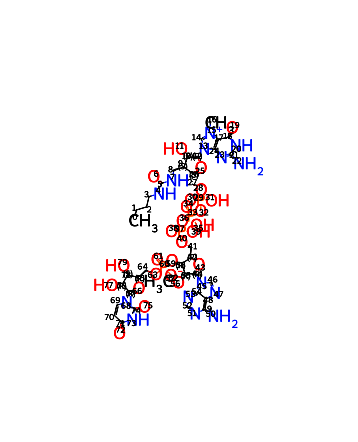 CCCCNC(=O)NC[C@H]1[C@@H](O)[C@H](n2c[n+](C)c3c(=O)[nH]c(N)nc32)O[C@@H]1COP(=O)(O)OP(=O)(O)OP(=O)(O)OC[C@H]1O[C@@H](n2cnc3c(N)ncnc32)[C@H](OC)[C@@H]1OP(=O)([O-])OC[C@H]1O[C@@H](n2ccc(=O)[nH]c2=O)[C@H](O)[C@@H]1O